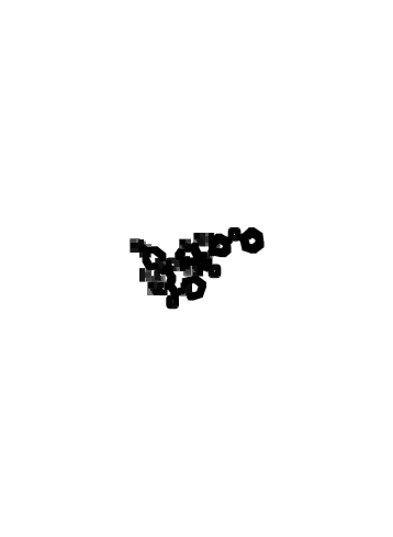 CCN1CCN(C(C)(C)C=C(C#N)C(=O)N2CCC[C@H](n3c(=O)n(-c4ccc(Oc5ccccc5)cc4)c4c(N)ncnc43)C2)CC1